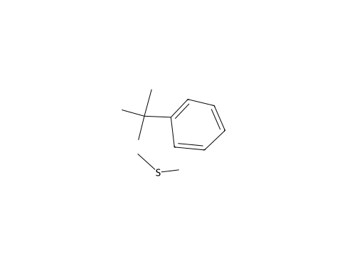 CC(C)(C)c1ccccc1.CSC